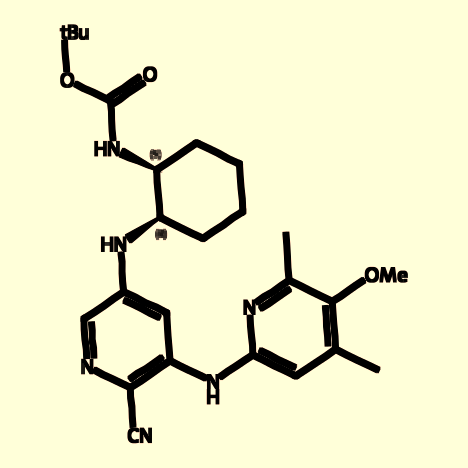 COc1c(C)cc(Nc2cc(N[C@@H]3CCCC[C@@H]3NC(=O)OC(C)(C)C)cnc2C#N)nc1C